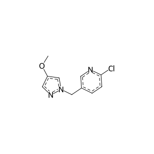 COc1cnn(Cc2ccc(Cl)nc2)c1